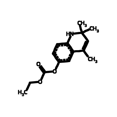 CCOC(=O)Oc1ccc2c(c1)C(C)=CC(C)(C)N2